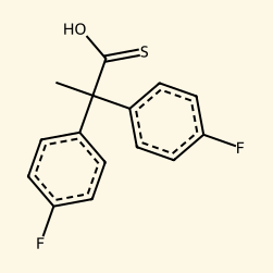 CC(C(O)=S)(c1ccc(F)cc1)c1ccc(F)cc1